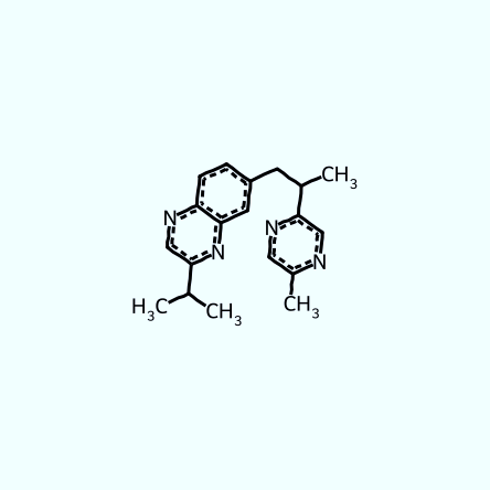 Cc1cnc(C(C)Cc2ccc3ncc(C(C)C)nc3c2)cn1